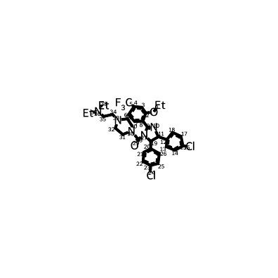 CCOc1cc(C(F)(F)F)ccc1C1=NC(c2ccc(Cl)cc2)C(c2ccc(Cl)cc2)N1C(=O)N1CCN(CCN(CC)CC)CC1